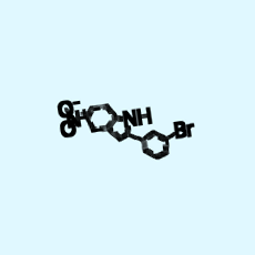 O=[N+]([O-])c1ccc2[nH]c(-c3cccc(Br)c3)cc2c1